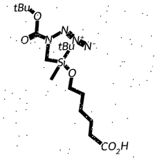 CC(C)(C)OC(=O)N(C[Si](C)(OCCCCCC(=O)O)C(C)(C)C)N=[N+]=[N-]